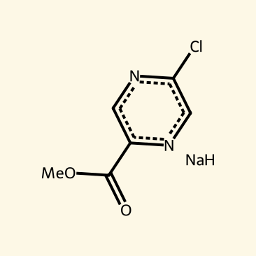 COC(=O)c1cnc(Cl)cn1.[NaH]